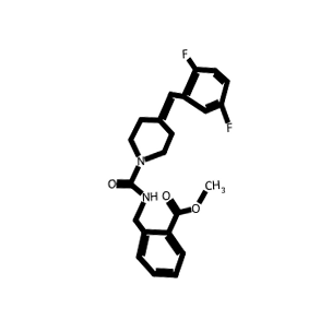 COC(=O)c1ccccc1CNC(=O)N1CCC(=Cc2cc(F)ccc2F)CC1